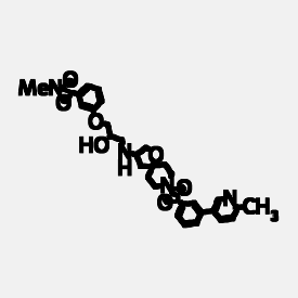 CNS(=O)(=O)c1cccc(OCC(O)CNC2COC3(CCN(S(=O)(=O)c4cccc(-c5ccc(C)nc5)c4)CC3)C2)c1